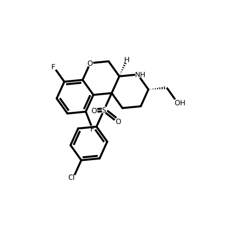 O=S(=O)(c1ccc(Cl)cc1)C12CC[C@@H](CO)N[C@@H]1COc1c(F)ccc(F)c12